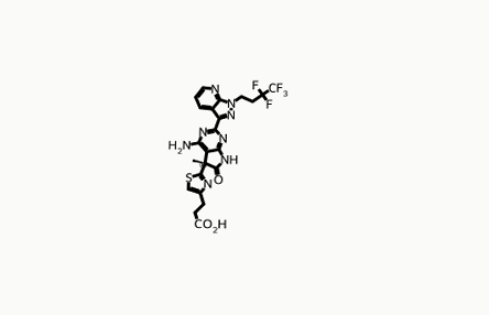 C[C@]1(c2nc(CCC(=O)O)cs2)C(=O)Nc2nc(-c3nn(CCC(F)(F)C(F)(F)F)c4ncccc34)nc(N)c21